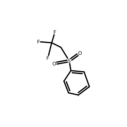 O=S(=O)(CC(F)(F)F)c1cc[c]cc1